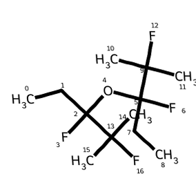 CCC(F)(OC(F)(CC)C(C)(C)F)C(C)(C)F